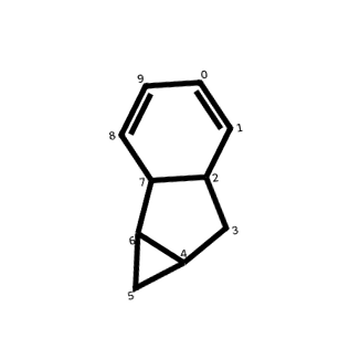 C1=CC2CC3CC3C2C=C1